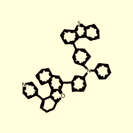 C1=C(c2ccncc2)c2c(oc3c(-c4cccc(N(c5ccccc5)c5ccc(-c6cccc7sc8ccccc8c67)cc5)c4)cc4ccccc4c23)CC1